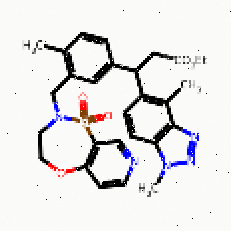 CCOC(=O)CC(c1ccc(C)c(CN2CCOc3ccncc3S2(=O)=O)c1)c1ccc2c(nnn2C)c1C